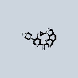 Fc1cc(Nc2ncc3ccc4cnn(C5CC5)c4c3n2)ncc1N1CCNCC1